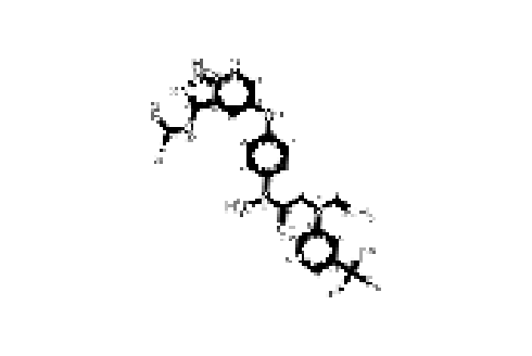 C=CN(CC(=C)N(C)c1ccc(Oc2cnc3[nH]nc(OC(F)F)c3c2)cc1)c1cncc(C(F)(F)F)c1